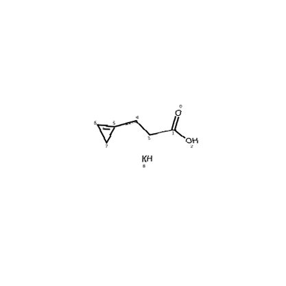 O=C(O)CCC1=CC1.[KH]